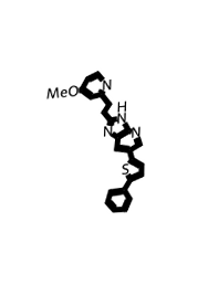 COc1ccnc(CCc2nc3cc(-c4ccc(-c5ccccc5)s4)cnc3[nH]2)c1